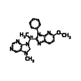 COc1ccc2nc([C@H](C)N3CN(C)c4cncnc43)n(-c3ccccc3)c2n1